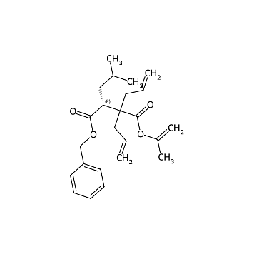 C=CCC(CC=C)(C(=O)OC(=C)C)[C@@H](CC(C)C)C(=O)OCc1ccccc1